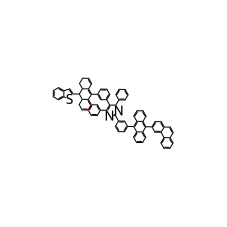 C1=CCC2C(=C1)C(c1cccc(-c3c(-c4ccccc4)nc(-c4cccc(-c5c6ccccc6c(-c6ccc7ccc8ccccc8c7c6)c6ccccc56)c4)nc3-c3ccccc3)c1)=C1C=CCCC1C2c1cc2ccccc2s1